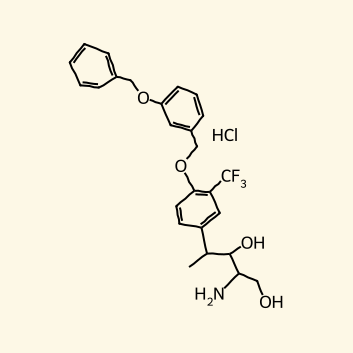 CC(c1ccc(OCc2cccc(OCc3ccccc3)c2)c(C(F)(F)F)c1)C(O)C(N)CO.Cl